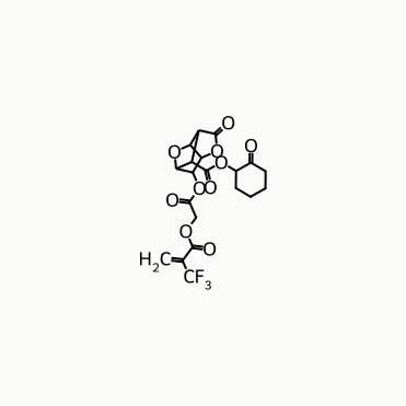 C=C(C(=O)OCC(=O)OC1C2OC(=O)C3C2OC1C3C(=O)OC1CCCCC1=O)C(F)(F)F